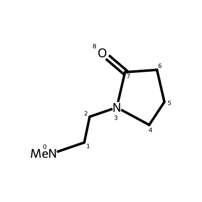 [CH2-][NH2+]CCN1CCCC1=O